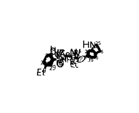 CCc1ccc(OC)c(S(=O)(=O)N[C@H](C)c2nnc(Oc3ccc4c(c3)NCC4)n2CC)c1